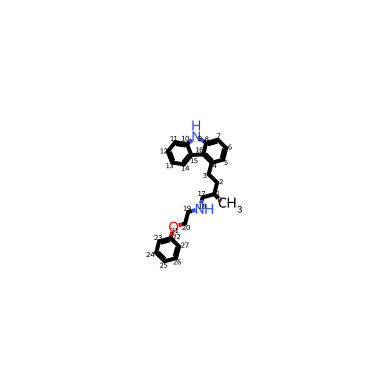 CC(CCc1cccc2[nH]c3ccccc3c12)CNCCOc1ccccc1